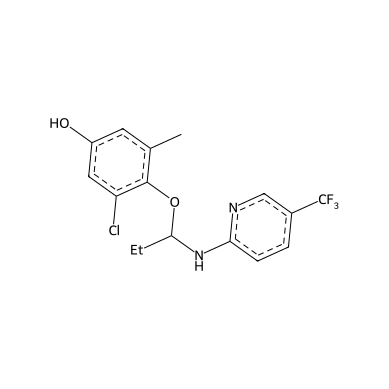 CCC(Nc1ccc(C(F)(F)F)cn1)Oc1c(C)cc(O)cc1Cl